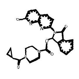 O=C(OC1c2ccccc2C(=O)N1c1ccc2ccc(Cl)nc2n1)N1CCN(C(=O)C2CC2)CC1